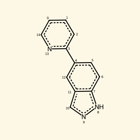 c1ccc(-c2ccc3[nH]ncc3c2)nc1